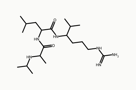 CC(C)CC(NC(=O)C(C)NC(C)C)C(=O)NC(CCCNC(=N)N)C(C)C